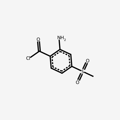 CS(=O)(=O)c1ccc(C(=O)Cl)c(N)c1